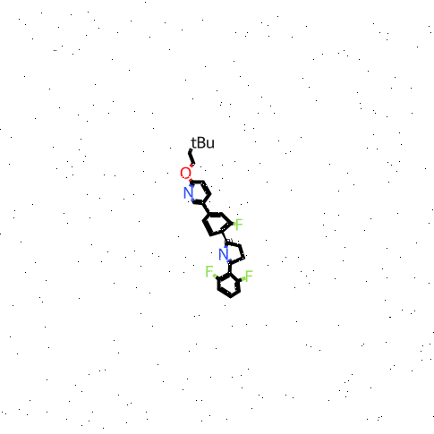 CC(C)(C)CCOc1ccc(-c2ccc([C@H]3CCC(c4c(F)cccc4F)=N3)c(F)c2)cn1